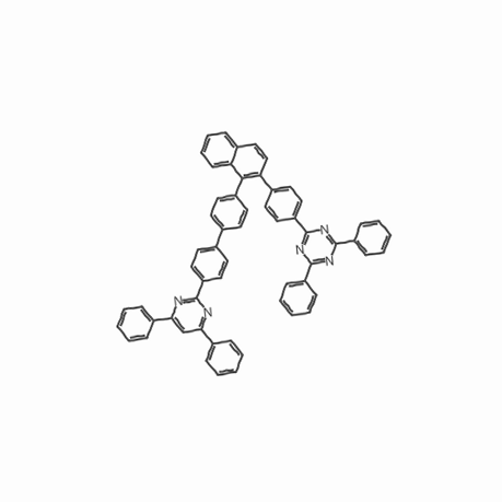 c1ccc(-c2cc(-c3ccccc3)nc(-c3ccc(-c4ccc(-c5c(-c6ccc(-c7nc(-c8ccccc8)nc(-c8ccccc8)n7)cc6)ccc6ccccc56)cc4)cc3)n2)cc1